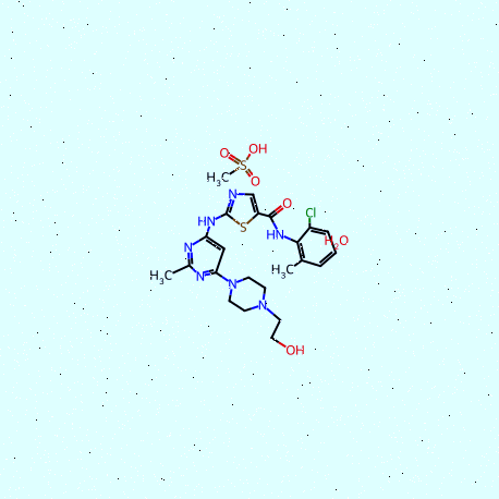 CS(=O)(=O)O.Cc1nc(Nc2ncc(C(=O)Nc3c(C)cccc3Cl)s2)cc(N2CCN(CCO)CC2)n1.O